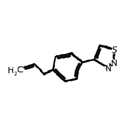 C=CCc1ccc(-c2csnn2)cc1